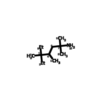 CCC(C)(CC)C(C)CC(C)(C)N